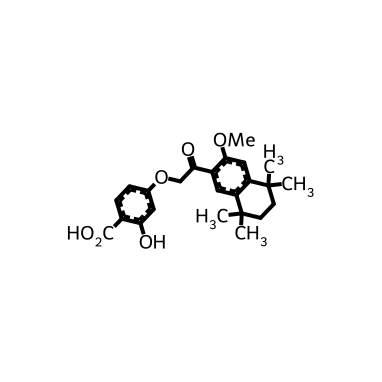 COc1cc2c(cc1C(=O)COc1ccc(C(=O)O)c(O)c1)C(C)(C)CCC2(C)C